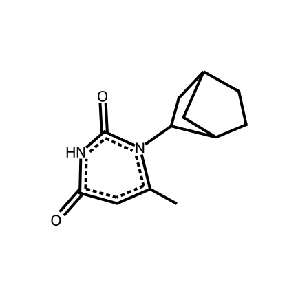 Cc1cc(=O)[nH]c(=O)n1C1CC2CCC1C2